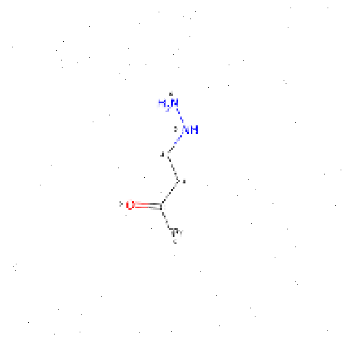 CC(C)C(=O)CCNN